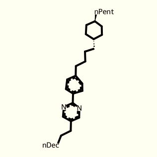 CCCCCCCCCCCCc1cnc(-c2ccc(CCCC[C@H]3CC[C@H](CCCCC)CC3)cc2)nc1